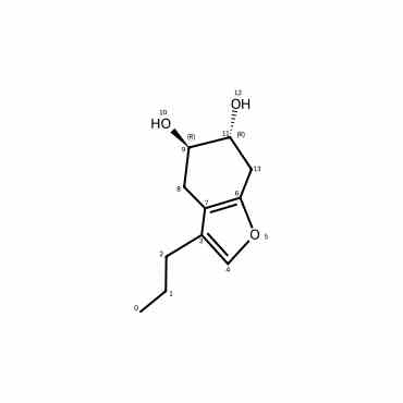 CCCc1coc2c1C[C@@H](O)[C@H](O)C2